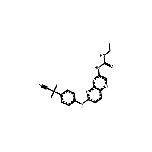 CCNC(=O)Nc1cnc2ccc(Nc3ccc(C(C)(C)C#N)cc3)nc2n1